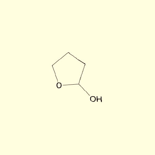 OC1CCCO1